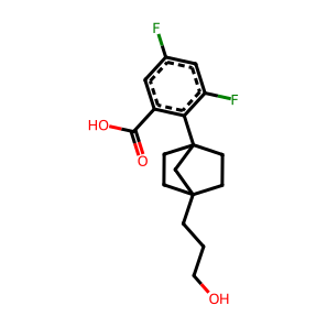 O=C(O)c1cc(F)cc(F)c1C12CCC(CCCO)(CC1)C2